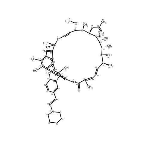 CO[C@H]1/C=C/O[C@@]2(C)Oc3c(C)c(O)c4c(O)c(c5c(c4c3C2=O)NC2C=CC(/C=N/N3CCCCC3)=CN52)NC(=O)/C(C)=C\C=C\[C@H](C)[C@H](O)[C@@H](C)[C@@H](O)[C@@H](C)[C@H](OC(C)=O)[C@@H]1C